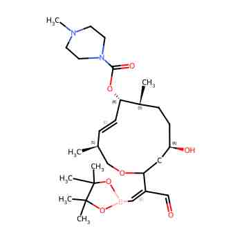 C[C@H]1/C=C/[C@H](OC(=O)N2CCN(C)CC2)[C@@H](C)CC[C@@H](O)CC(/C(C=O)=C\B2OC(C)(C)C(C)(C)O2)OC1